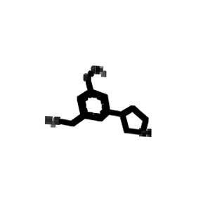 CCc1cc(OC)cc(C2CCNC2)c1